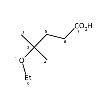 CCOC(C)(C)CCC(=O)O